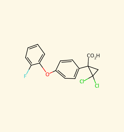 O=C(O)C1(c2ccc(Oc3ccccc3F)cc2)CC1(Cl)Cl